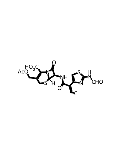 CC(=O)OCC1=C(C(=O)O)N2C(=O)C(NC(=O)/C(=C/Cl)c3csc(NC=O)n3)[C@H]2SC1